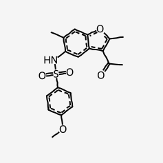 COc1ccc(S(=O)(=O)Nc2cc3c(C(C)=O)c(C)oc3cc2C)cc1